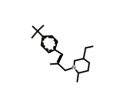 CCC1CCC(C)N(CC(C)=Cc2ccc(C(C)(C)C)cc2)C1